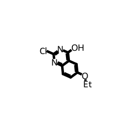 CCOc1ccc2nc(Cl)nc(O)c2c1